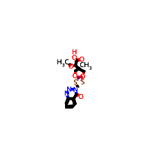 COC(C(=O)O)C1(C)COP(=S)(SCn2nnc3ccccc3c2=O)OC1